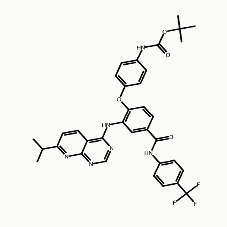 CC(C)c1ccc2c(Nc3cc(C(=O)Nc4ccc(C(F)(F)F)cc4)ccc3Oc3ccc(NC(=O)OC(C)(C)C)cc3)ncnc2n1